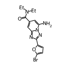 CCN(CC)C(=O)c1cc(N)n2nc(-c3ccc(Br)o3)nc2c1